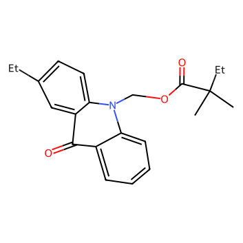 CCc1ccc2c(c1)c(=O)c1ccccc1n2COC(=O)C(C)(C)CC